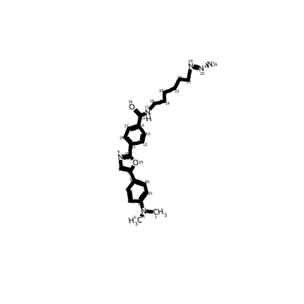 CN(C)c1ccc(-c2cnc(-c3ccc(C(=O)NCCCCCCN=[N+]=[N-])cc3)o2)cc1